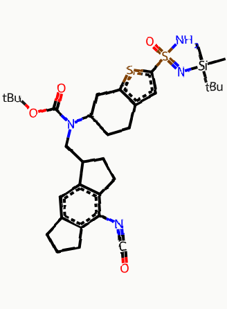 CC(C)(C)OC(=O)N(CC1CCc2c1cc1c(c2N=C=O)CCC1)C1CCc2cc(S(N)(=O)=N[Si](C)(C)C(C)(C)C)sc2C1